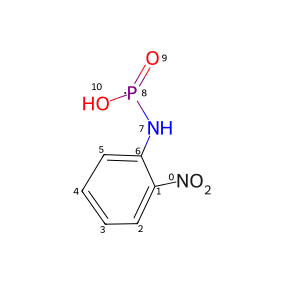 O=[N+]([O-])c1ccccc1N[P](=O)O